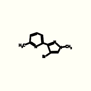 Cc1cccc(-c2nn(C)cc2Br)n1